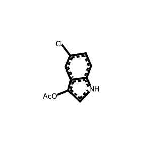 CC(=O)Oc1c[nH]c2ccc(Cl)cc12